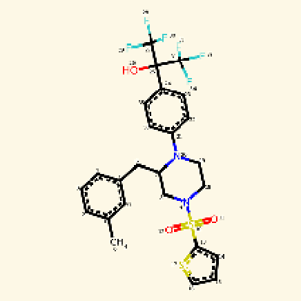 Cc1cccc(CC2CN(S(=O)(=O)c3cccs3)CCN2c2ccc(C(O)(C(F)(F)F)C(F)(F)F)cc2)c1